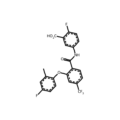 Cc1cc(F)ccc1Oc1cc(C(F)(F)F)ccc1C(=O)Nc1ccc(F)c(C(=O)O)c1